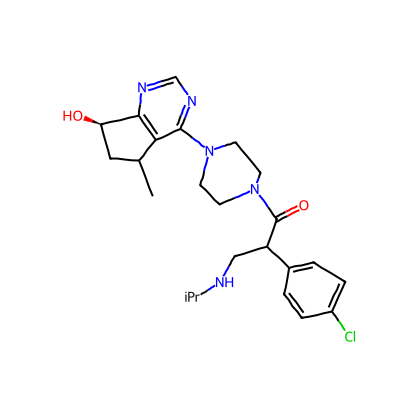 CC(C)NCC(C(=O)N1CCN(c2ncnc3c2C(C)C[C@H]3O)CC1)c1ccc(Cl)cc1